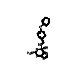 CC1=NC(S)(NCc2ccc(Oc3ccccc3)cc2)C2=NC=NC2=N1